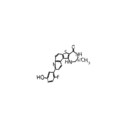 C[C@@H]1CNc2c(sc3ccc4nc(-c5cc(O)ccc5F)ccc4c23)C(=O)N1